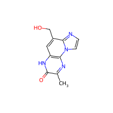 Cc1nc2c(cc(CO)c3nccn32)[nH]c1=O